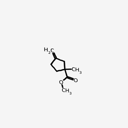 C=C1CCC(C)(C(=O)OC)C1